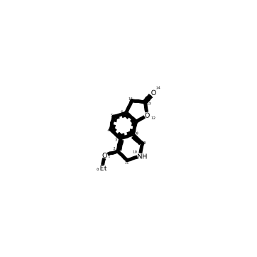 CCOC1=c2ccc3c(c2=CNC1)OC(=O)C3